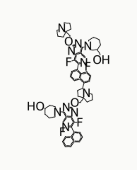 OCC1CCCCN(c2nc(OCC34CCCN3CCC4)nc3c(F)c(-c4cccc5c(C6CCC7(COc8nc(N9CCCC(O)CC9)c9cnc(-c%10cccc%11cccc(F)c%10%11)c(F)c9n8)CCCN67)ccc(F)c45)ncc23)C1